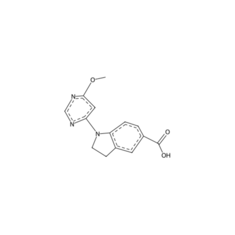 COc1cc(N2CCc3cc(C(=O)O)ccc32)ncn1